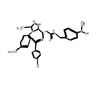 COc1ccc2c(c1)C(c1ccc(Cl)cc1)=N[C@@H](CC(=O)NCc1ccc(B(O)O)cc1)C1NNC(C)N21